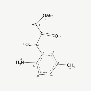 CONC(=O)C(=O)c1cc(C)ccc1N